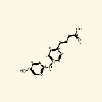 O=C(O)CCCc1ccc(Oc2ccc(O)cc2)cc1